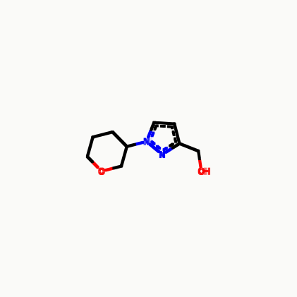 OCc1ccn(C2CCCOC2)n1